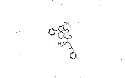 CN1CC(c2ccccc2)C2(CCCN(C(=O)C(N)COCc3ccccc3)C2)C1=O